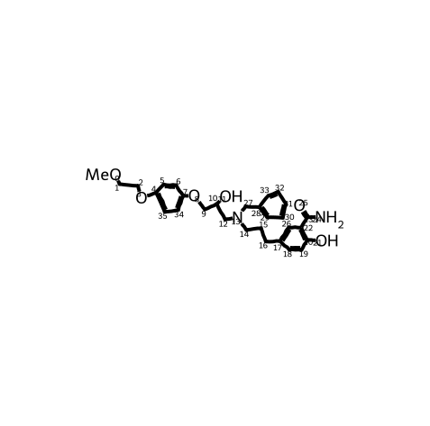 COCCOc1ccc(OCC(O)CN(CCCc2ccc(O)c(C(N)=O)c2)Cc2ccccc2)cc1